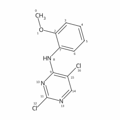 COc1ccccc1Nc1nc(Cl)ncc1Cl